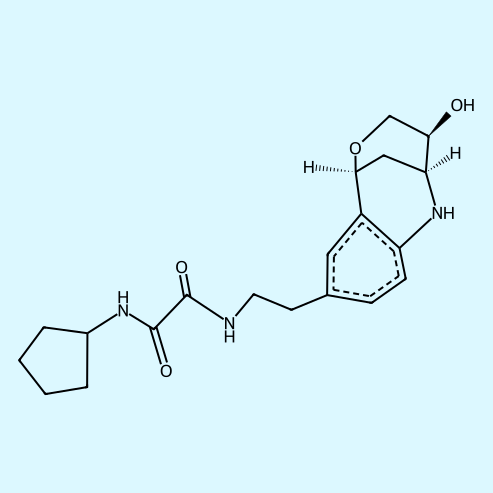 O=C(NCCc1ccc2c(c1)[C@@H]1C[C@H](N2)[C@H](O)CO1)C(=O)NC1CCCC1